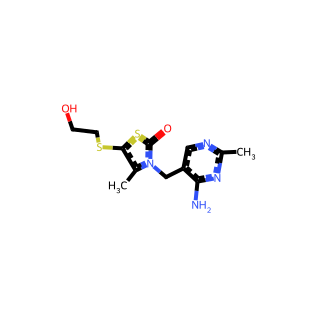 Cc1ncc(Cn2c(C)c(SCCO)sc2=O)c(N)n1